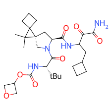 CC(C)(C)[C@H](NC(=O)OC1COC1)C(=O)N1C[C@]2(C[C@H]1C(=O)NC(CC1CCC1)C(=O)C(N)=O)C(C)(C)C21CCC1